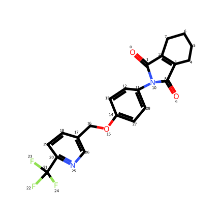 O=C1C2=C(CCCC2)C(=O)N1c1ccc(OCc2ccc(C(F)(F)F)nc2)cc1